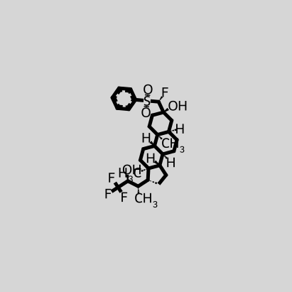 C[C@@H]([C@H]1CC[C@H]2[C@@H]3CC[C@@H]4C[C@@](O)([C@@H](F)S(=O)(=O)c5ccccc5)CC[C@]4(C)[C@H]3CC[C@]12C)[C@H](O)C(F)(F)F